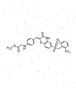 COC(=O)CNc1ccc(C=C2Sc3ccc(S(=O)(=O)Cc4c(C)cccc4C)cc3NC2=O)cc1